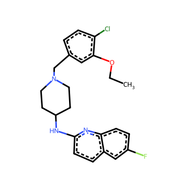 CCOc1cc(CN2CCC(Nc3ccc4cc(F)ccc4n3)CC2)ccc1Cl